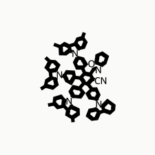 Cc1ccc2c(c1)c1cc(C)ccc1n2-c1ccc(-c2c(-c3ccc(-n4c5ccccc5c5ccccc54)cc3)c(C#N)c(-c3nc4ccccc4o3)c(-c3ccc(-n4c5ccc(C)cc5c5cc(C)ccc54)cc3)c2-c2ccc(-n3c4ccc(C)cc4c4cc(C)ccc43)cc2)cc1